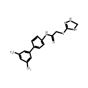 O=C(CSC1=NNCN1)Nc1ccc(-c2cc(C(F)(F)F)cc(C(F)(F)F)c2)cc1